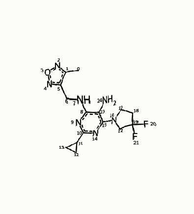 Cc1nonc1CNc1nc(C2CC2)nc(N2CCC(F)(F)C2)c1N